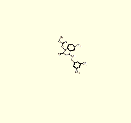 CC[C@@H]1C[C@H](NCc2cc(C(F)(F)F)cc(C(F)(F)F)c2)c2cc(C(F)(F)F)ccc2N1OC(=O)OC(C)C